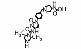 C[C@@H]1CNC[C@H](C)N1C(=O)Nc1ccn(-c2ccc(CN3CCC(NC(=O)O)CC3)cc2)c(=O)n1